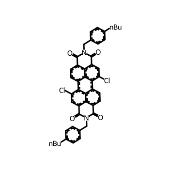 CCCCc1ccc(CN2C(=O)c3ccc4c5c(Cl)cc6c7c(ccc(c8c(Cl)cc(c3c48)C2=O)c75)C(=O)N(Cc2ccc(CCCC)cc2)C6=O)cc1